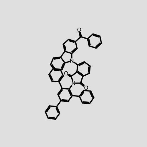 O=C(c1ccccc1)c1ccc2c3ccccc3n(-c3cccc4c3C(=O)N(c3c(-c5ccccc5)cc(-c5ccccc5)cc3-c3ccccc3)C4=O)c2c1